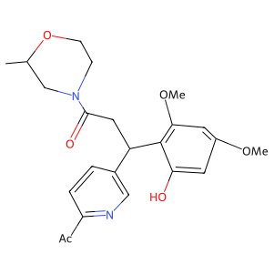 COc1cc(O)c(C(CC(=O)N2CCOC(C)C2)c2ccc(C(C)=O)nc2)c(OC)c1